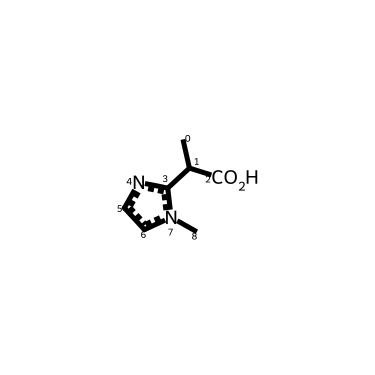 CC(C(=O)O)c1nccn1C